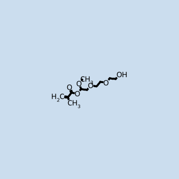 C=C(C)C(=O)OC(COCCOCCO)OC